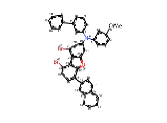 COc1cccc(N(c2cccc(-c3ccccc3)c2)c2cc(Br)c3c(c2)oc2c(-c4ccc5ccccc5c4)ccc(Br)c23)c1